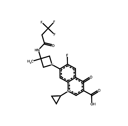 CC1(NC(=O)CC(F)(F)F)CN(c2cc3c(cc2F)c(=O)c(C(=O)O)cn3C2CC2)C1